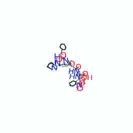 O=C(CO[C@@H]1C[C@@H](CNc2ccccn2)N(C(=O)OCc2ccccc2)C1)NC[C@H](NC(=O)c1ccccc1[N+](=O)[O-])C(=O)O